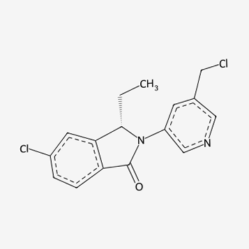 CC[C@H]1c2cc(Cl)ccc2C(=O)N1c1cncc(CCl)c1